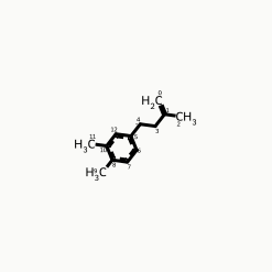 C=C(C)C[CH]c1ccc(C)c(C)c1